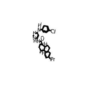 CC(C)c1ccc2c(c1)CC[C@@H]1[C@@H]2[C@@H](C)CC[C@@]1(C)C(=O)Nc1cc(Nc2ccc(Cl)cc2)ncn1